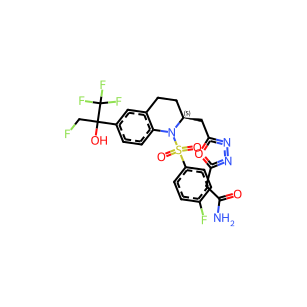 NC(=O)Cc1nnc(C[C@@H]2CCc3cc(C(O)(CF)C(F)(F)F)ccc3N2S(=O)(=O)c2ccc(F)cc2)o1